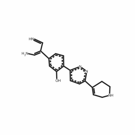 N=C/C(=C\N)c1ccc(-c2ccc(C3=CCNCC3)nn2)c(O)c1